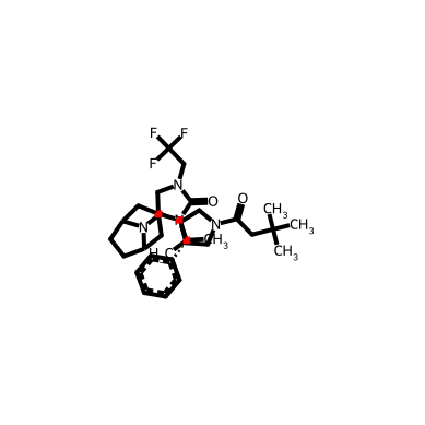 CC(C)N1C(=O)N(CC(F)(F)F)CC12CC1CCC(C2)N1C[C@H]1CN(C(=O)CC(C)(C)C)C[C@@H]1c1ccccc1